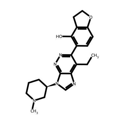 CCc1c(-c2ccc3c(c2O)CCO3)nnc2c1ncn2[C@@H]1CCCN(C)C1